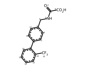 O=C(O)C(=O)NCc1ccc(-c2ccccc2C(F)(F)F)cc1